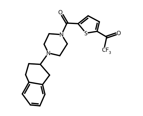 O=C(c1ccc(C(=O)C(F)(F)F)s1)N1CCN(C2CCc3ccccc3C2)CC1